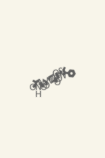 Cc1sc(S(=O)(=O)N2CCN(C(=O)Cn3cc(C)c(=O)[nH]c3=O)CC2=O)nc1-c1ccccc1